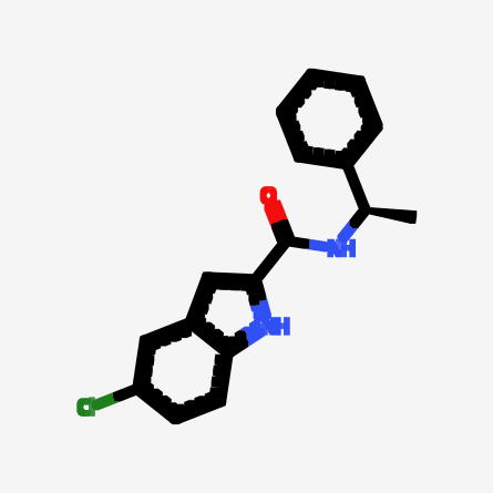 C[C@@H](NC(=O)c1cc2cc(Cl)ccc2[nH]1)c1ccccc1